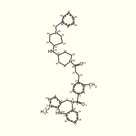 Cc1cc(C(=O)N2Cc3cnn(C)c3Nc3ccccc32)ccc1CCC(=O)N1CCC(NC2CCN(Cc3ccccc3)CC2)CC1